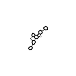 c1ccc(-c2ccc3c(c2)Sc2cccc4c2c-3cc2sc3cc(-c5ccccc5)ccc3c24)cc1